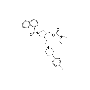 CCN(CC)C(=O)OCC1CN(C(=O)c2cccc3ccccc23)CC1CCN1CCC(c2ccc(F)cc2)CC1